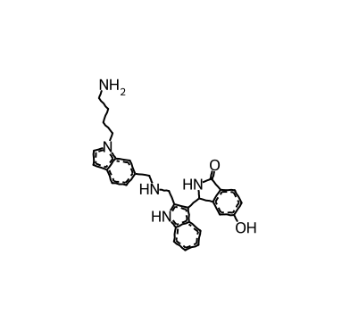 NCCCCn1ccc2ccc(CNCc3[nH]c4ccccc4c3C3NC(=O)c4ccc(O)cc43)cc21